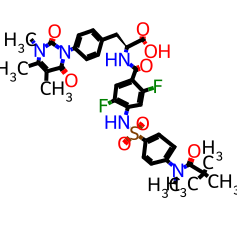 Cc1c(C)n(C)c(=O)n(-c2ccc(C[C@H](NC(=O)c3cc(F)c(NS(=O)(=O)c4ccc(N(C)C(=O)C(C)(C)C)cc4)cc3F)C(=O)O)cc2)c1=O